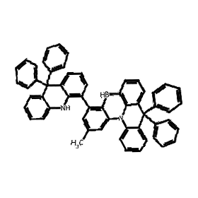 Cc1cc(-c2cccc3c2Nc2ccccc2C3(c2ccccc2)c2ccccc2)c2c(c1)N1c3ccccc3C(c3ccccc3)(c3ccccc3)c3cccc(c31)B2